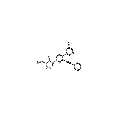 CNC(C)C(=O)Nc1ccc(-c2cncc(C#N)c2)c(C#Cc2ccccc2)n1